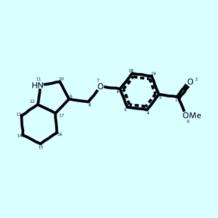 COC(=O)c1ccc(OCC2CNC3CCCCC23)cc1